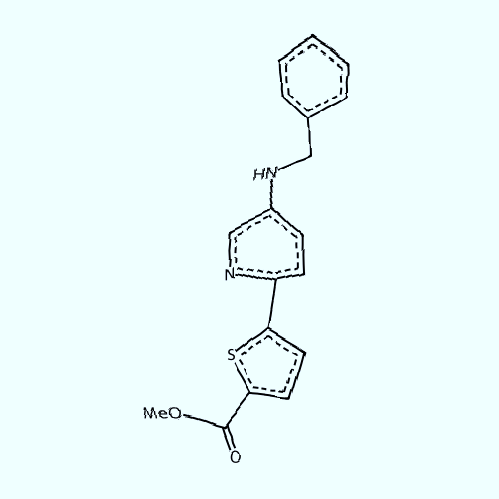 COC(=O)c1ccc(-c2ccc(NCc3ccccc3)cn2)s1